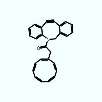 O=C(Cc1ccccccccc1)N1Cc2ccccc2C#Cc2ccccc21